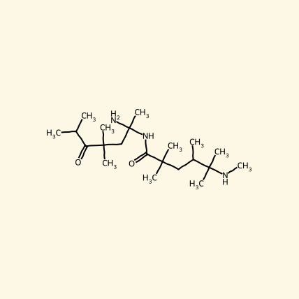 CNC(C)(C)C(C)CC(C)(C)C(=O)NC(C)(N)CC(C)(C)C(=O)C(C)C